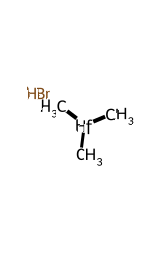 Br.[CH3][Hf]([CH3])[CH3]